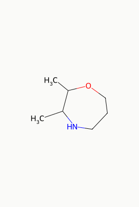 CC1NCCCOC1C